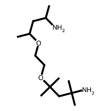 CC(N)CC(C)OCCOC(C)(C)CC(C)(C)N